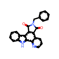 O=C1c2c(c3c4ccccc4[nH]c3c3ncccc23)C(=O)N1Cc1ccccc1